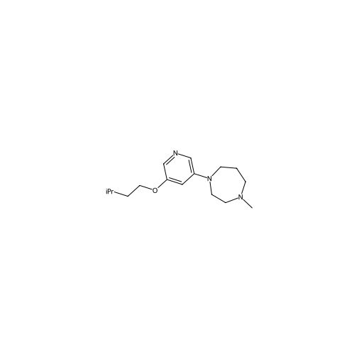 CC(C)CCOc1cncc(N2CCCN(C)CC2)c1